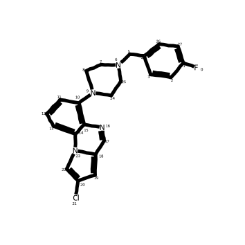 Fc1ccc(CN2CCN(c3cccc4c3ncc3cc(Cl)cn34)CC2)cc1